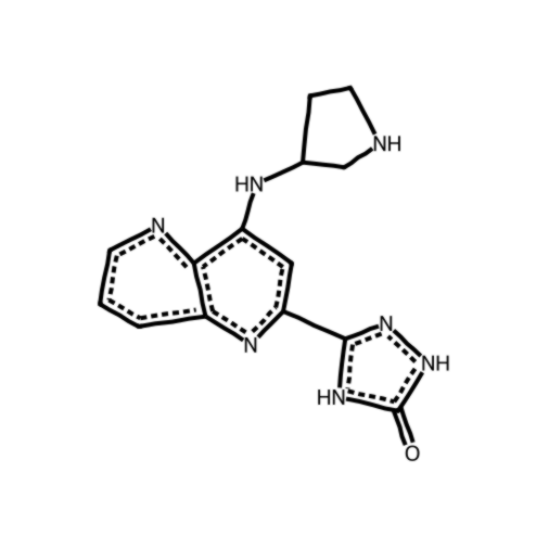 O=c1[nH]nc(-c2cc(NC3CCNC3)c3ncccc3n2)[nH]1